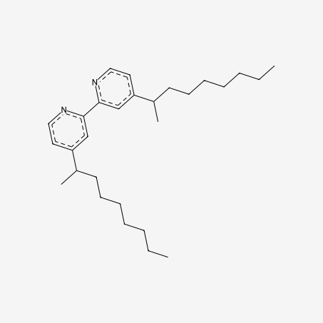 CCCCCCCC(C)c1ccnc(-c2cc(C(C)CCCCCCC)ccn2)c1